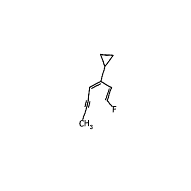 CC#CC=C(C=CF)C1CC1